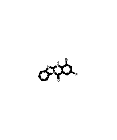 O=c1c2cc(Br)cc(Br)c2[nH]c2nc3ccccc3n12